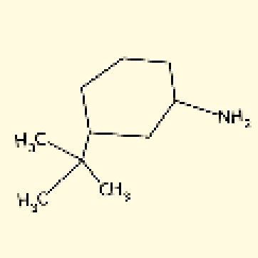 CC(C)(C)C1CCCC(N)C1